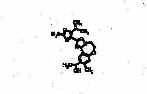 Cc1nc(-c2cn3c(n2)-c2cc(C(C)O)c(C)cc2OCC3)n(C(C)C)n1